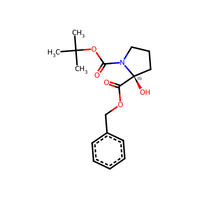 CC(C)(C)OC(=O)N1CCC[C@]1(O)C(=O)OCc1ccccc1